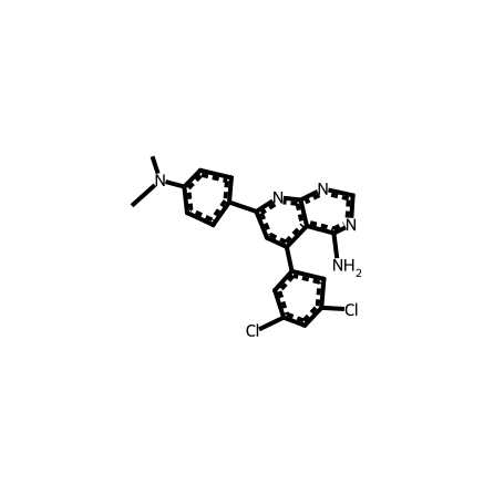 CN(C)c1ccc(-c2cc(-c3cc(Cl)cc(Cl)c3)c3c(N)ncnc3n2)cc1